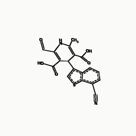 CC1=C(C(=O)O)C(c2csc3c(C#N)cccc23)C(C(=O)O)=C(C=O)N1